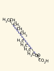 CC(C)=CCC/C(C)=C/C=C/C(C)=C/C=C/C(C)=C/C=C/C=C(C)/C=C/C=C(C)/C=C/C=C(\C)CC/C=C(\C)COC(=O)CCC(=O)O